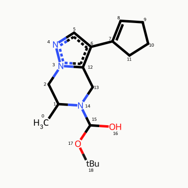 CC1Cn2ncc(C3=CCCC3)c2CN1C(O)OC(C)(C)C